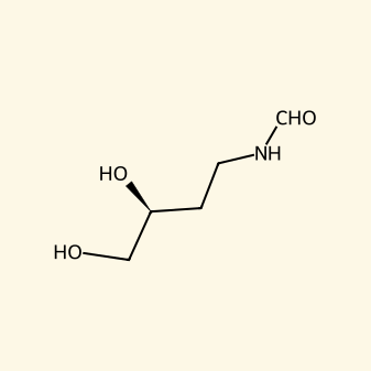 O=CNCC[C@H](O)CO